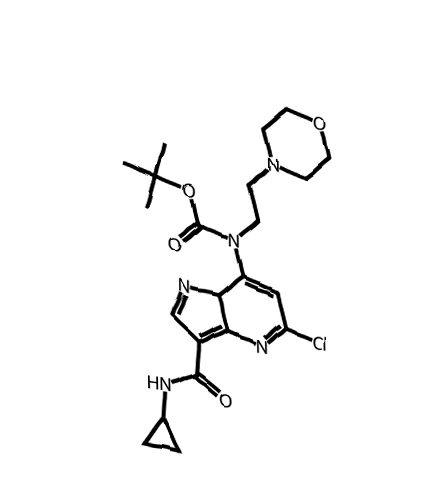 CC(C)(C)OC(=O)N(CCN1CCOCC1)C1=CC(Cl)=NC2=C(C(=O)NC3CC3)C=NC12